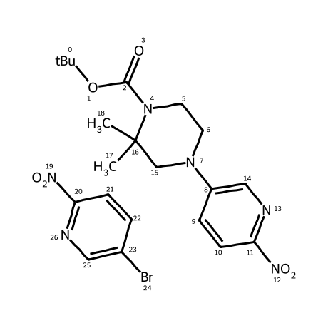 CC(C)(C)OC(=O)N1CCN(c2ccc([N+](=O)[O-])nc2)CC1(C)C.O=[N+]([O-])c1ccc(Br)cn1